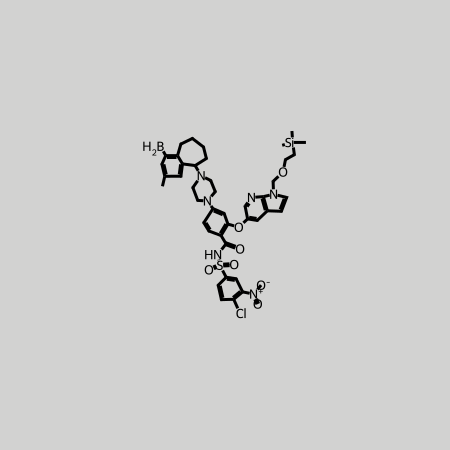 Bc1cc(C)cc2c1CCCCC2N1CCN(c2ccc(C(=O)NS(=O)(=O)c3ccc(Cl)c([N+](=O)[O-])c3)c(Oc3cnc4c(ccn4COCC[Si](C)(C)C)c3)c2)CC1